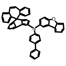 C1=Cc2ccccc2C2(c3ccccc31)c1ccccc1-c1cc(N(c3ccc(-c4ccccc4)cc3)c3ccc4oc5ccccc5c4c3)ccc12